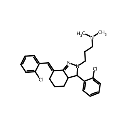 CN(C)CCCN1N=C2C(=Cc3ccccc3Cl)CCCC2C1c1ccccc1Cl